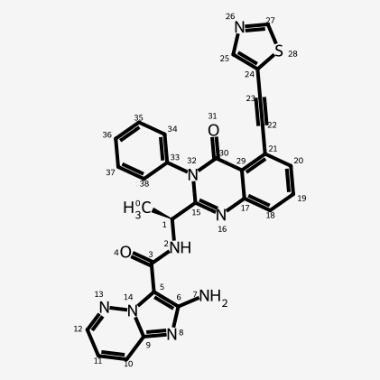 C[C@H](NC(=O)c1c(N)nc2cccnn12)c1nc2cccc(C#Cc3cncs3)c2c(=O)n1-c1ccccc1